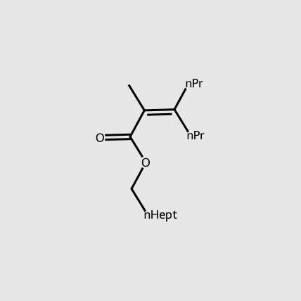 CCCCCCCCOC(=O)C(C)=C(CCC)CCC